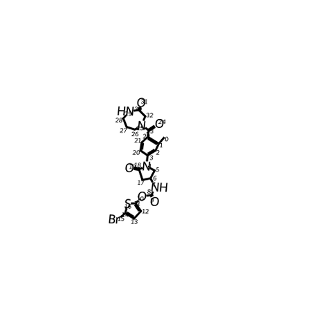 Cc1cc(N2CC(NC(=O)Oc3ccc(Br)s3)CC2=O)ccc1C(=O)N1CCCNC(=O)C1